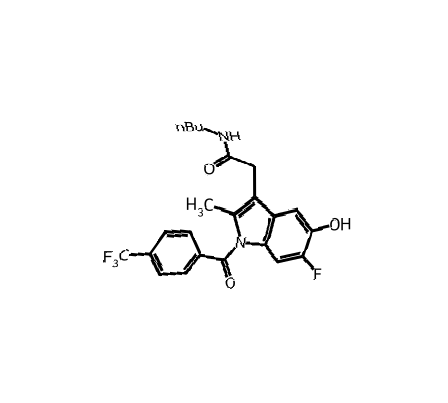 CCCCNC(=O)Cc1c(C)n(C(=O)c2ccc(C(F)(F)F)cc2)c2cc(F)c(O)cc12